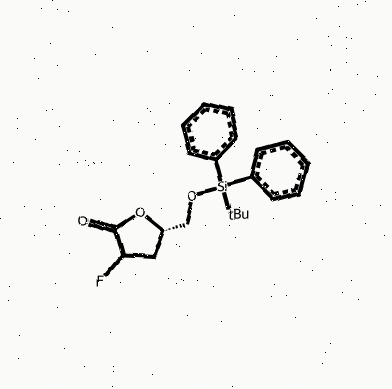 CC(C)(C)[Si](OC[C@@H]1CC(F)C(=O)O1)(c1ccccc1)c1ccccc1